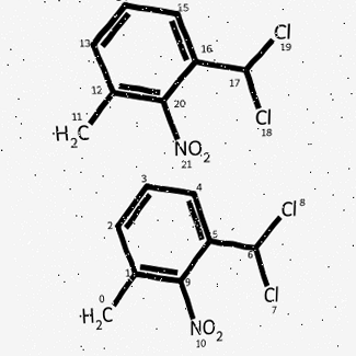 [CH2]c1cccc(C(Cl)Cl)c1[N+](=O)[O-].[CH2]c1cccc(C(Cl)Cl)c1[N+](=O)[O-]